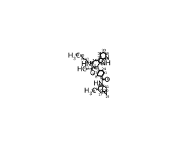 C#CC(=O)N1[C@@H](c2ccc(C(=O)NC34CC(C)CC5(CC5C3)C4)cc2)c2[nH]c3ncccc3c2C[C@@H]1NCCCC